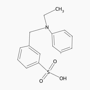 CCN(Cc1cccc(S(=O)(=O)O)c1)c1c[c]ccc1